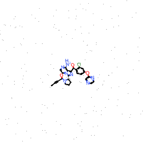 CC#CC(=O)N1CCC[C@H]1c1nc(C(=O)c2ccc(Oc3cnccn3)cc2Cl)c2c(N)nccn12